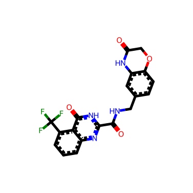 O=C1COc2ccc(CNC(=O)c3nc4cccc(C(F)(F)F)c4c(=O)[nH]3)cc2N1